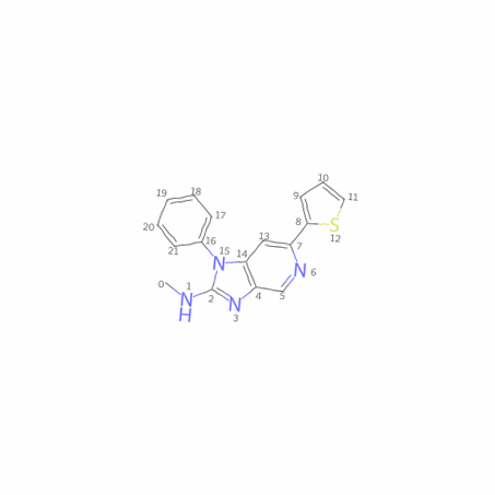 CNc1nc2cnc(-c3cccs3)cc2n1-c1ccccc1